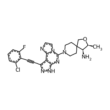 C[C@@H]1OCC2(CCN(c3nc4[nH]nc(C#Cc5c(F)cccc5Cl)c4c4nccn34)CC2)[C@@H]1N